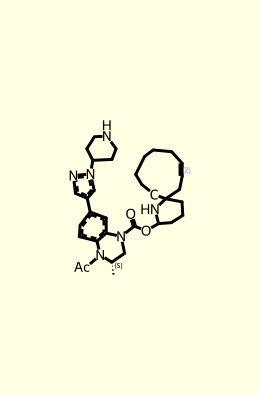 CC(=O)N1c2ccc(-c3cnn(C4CCNCC4)c3)cc2N(C(=O)OC2CCCC3(C/C=C\CCCCCC3)N2)C[C@@H]1C